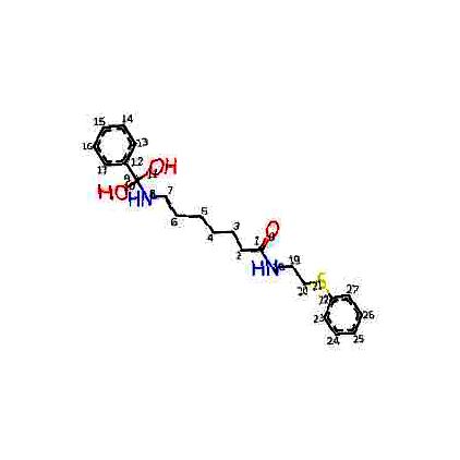 O=C(CCCCCCNC(O)(O)c1ccccc1)NCCSc1ccccc1